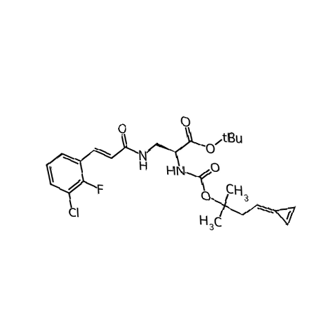 CC(C)(C)OC(=O)[C@H](CNC(=O)/C=C/c1cccc(Cl)c1F)NC(=O)OC(C)(C)CC=C1C=C1